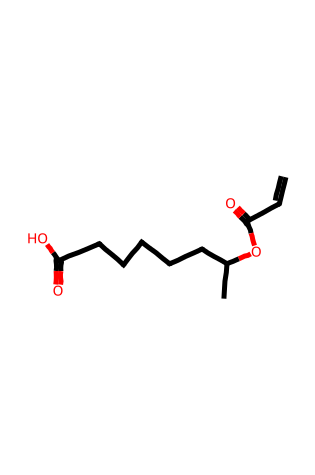 C=CC(=O)OC(C)CCCCCC(=O)O